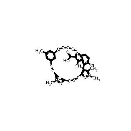 Cc1cc2cc(c1)SCc1cc(nn1C)CSCc1nn(C)c(C)c1-c1c(Cl)ccc3c1c(C)c(C(=O)O)n3CCCO2